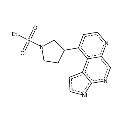 CCS(=O)(=O)N1CCC(c2ccnc3cnc4[nH]ccc4c23)C1